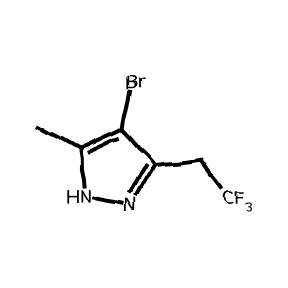 Cc1[nH]nc(CC(F)(F)F)c1Br